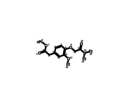 CCCOC(=O)Cc1ccc(OCC(=O)N(CC)CC)c(OCC)c1